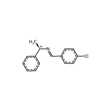 C[C@@H](N=Cc1ccc(Cl)cc1)c1ccccc1